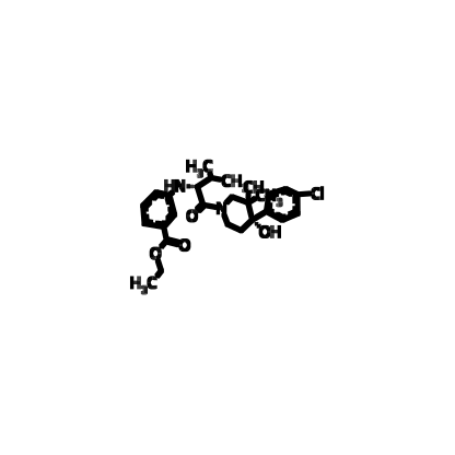 CCOC(=O)c1cccc(N[C@@H](C(=O)N2CC[C@](O)(c3ccc(Cl)cc3)C(C)(C)C2)C(C)C)c1